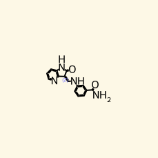 NC(=O)c1cccc(N/C=C2\C(=O)Nc3cccnc32)c1